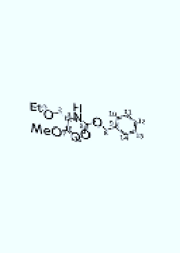 CCOC[C@H](NC(=O)OCc1ccccc1)C(=O)OC